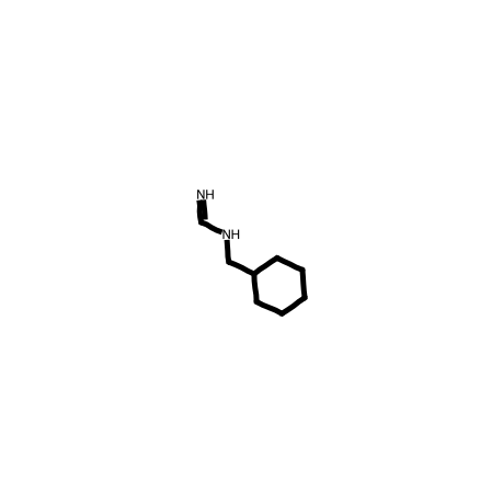 N=CNCC1CCCCC1